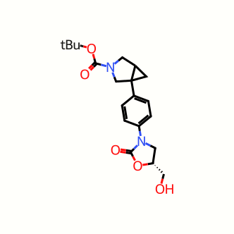 CC(C)(C)OC(=O)N1CC2CC2(c2ccc(N3C[C@H](CO)OC3=O)cc2)C1